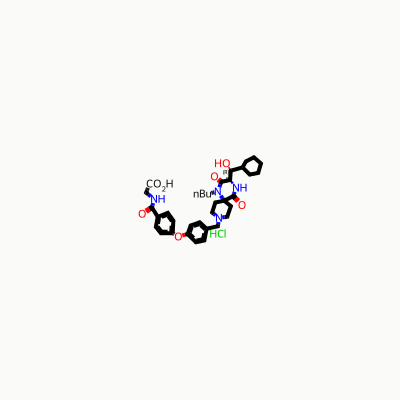 CCCCN1C(=O)[C@@H]([C@H](O)C2CCCCC2)NC(=O)C12CCN(Cc1ccc(Oc3ccc(C(=O)NCC(=O)O)cc3)cc1)CC2.Cl